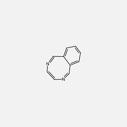 C1=C\N=C/c2ccccc2\C=N/1